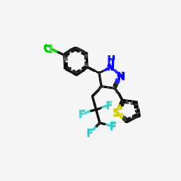 FC(F)C(F)(F)CC1C(c2cccs2)=NNC1c1ccc(Cl)cc1